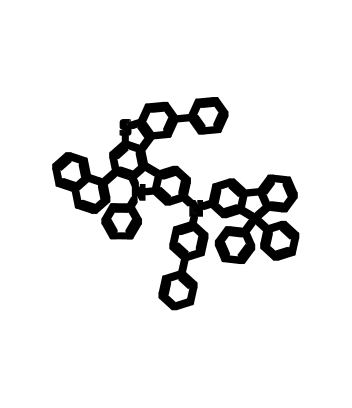 C1=CC(c2ccc(N(c3ccc4c(c3)C(c3ccccc3)(c3ccccc3)c3ccccc3-4)c3ccc4c5c6c(cc(-c7cccc8ccccc78)c5n(-c5ccccc5)c4c3)sc3ccc(-c4ccccc4)cc36)cc2)=CCC1